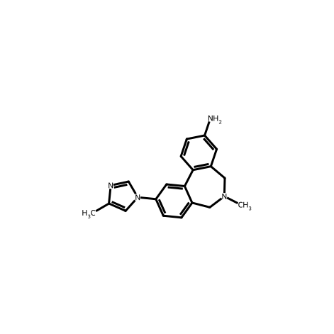 Cc1cn(-c2ccc3c(c2)-c2ccc(N)cc2CN(C)C3)cn1